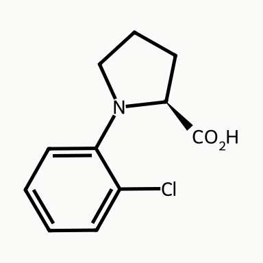 O=C(O)[C@@H]1CCCN1c1ccccc1Cl